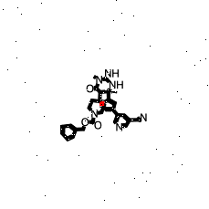 CN1C(=N)N[C@](C)(c2cc(-c3cncc(C#N)c3)cs2)C(C2CCN(C(=O)OCc3ccccc3)CC2)C1=O